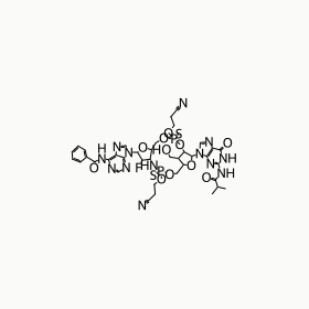 CC(C)C(=O)Nc1nc2c(ncn2C2OC3COP(=S)(OCCC#N)NC4C(COP(=S)(OCCC#N)OC2C3CO)OC(n2cnc3c(NC(=O)c5ccccc5)ncnc32)C4F)c(=O)[nH]1